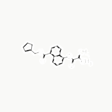 C=C(C)C(=O)Oc1cccc2c(C(=O)OCC3=CC=CC3)cccc12